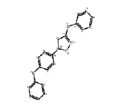 c1ccc(Oc2ccc([C@H]3CC(Oc4cccnc4)=NO3)cc2)cc1